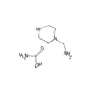 NC(=O)O.NCN1CCNCC1